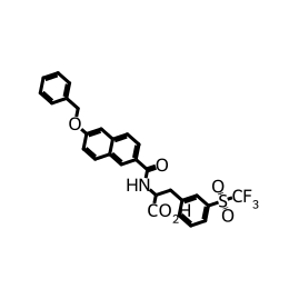 O=C(NC(Cc1cccc(S(=O)(=O)C(F)(F)F)c1)C(=O)O)c1ccc2cc(OCc3ccccc3)ccc2c1